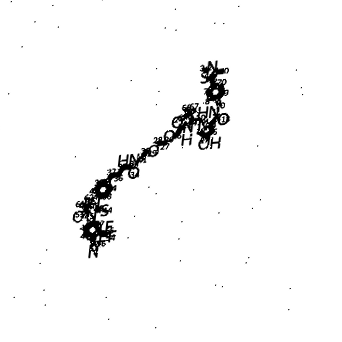 Cc1ncsc1-c1ccc(CNC(=O)C2C[C@@H](O)CN2C[C@@H](NC(=O)COCCOCCNC(=O)CCCc2ccc(N3C(=S)N(c4ccc(C#N)c(C(F)(F)F)c4)C(=O)C3(C)C)cc2)C(C)(C)C)cc1